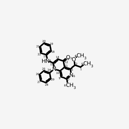 CCC(OC)c1nc(C)cc2c1c(=O)cc(Nc1ccccc1)n2-c1ccccc1